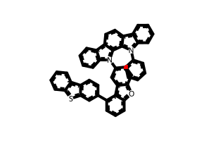 c1ccc(-n2c3ccccc3c3ccc4c5ccccc5n(-c5ccc6oc7cccc(-c8ccc9c(c8)sc8ccccc89)c7c6c5)c4c32)cc1